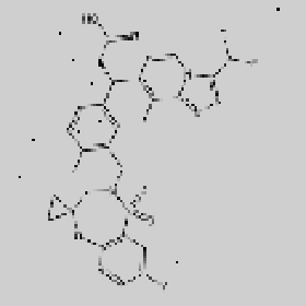 Cc1ccc([C@@H](CC(=O)O)c2ccn3c(C(F)F)nnc3c2C)cc1CN1CC2(CC2)Oc2ncc(F)cc2S1(=O)=O